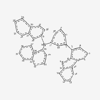 c1cc(-c2cccc3c2sc2ccccc23)cc(N(c2ccc3ccccc3c2)c2cccc3ccccc23)c1